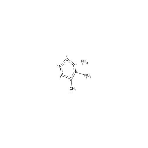 Cc1cnccc1[N+](=O)[O-].N